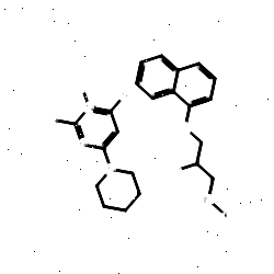 CC(C)NCC(O)COc1cccc2ccccc12.Nc1cc(N2CCCCC2)nc(N)[n+]1[O-]